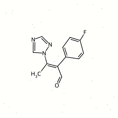 CC(=C(C=O)c1ccc(F)cc1)n1cncn1